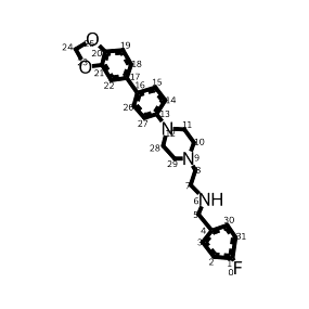 Fc1ccc(CNCCN2CCN(c3ccc(-c4ccc5c(c4)OCO5)cc3)CC2)cc1